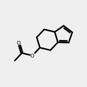 CC(=O)OC1CCC2C=CC=C2C1